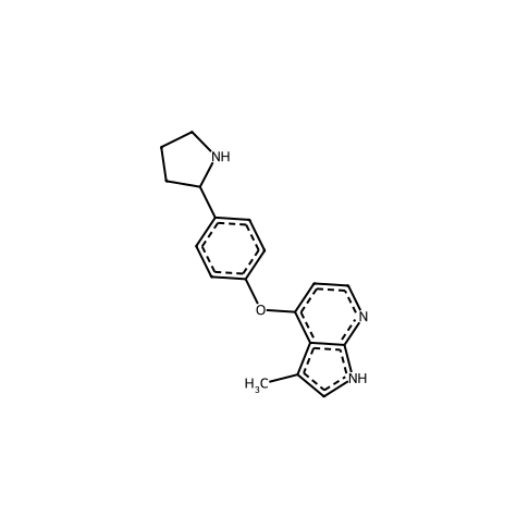 Cc1c[nH]c2nccc(Oc3ccc(C4CCCN4)cc3)c12